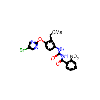 COCc1cc(NC(=O)NC(=O)c2ccccc2[N+](=O)[O-])ccc1Oc1ncc(Br)cn1